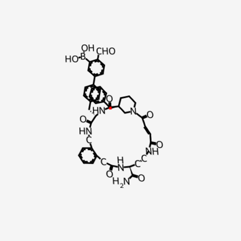 NC(=O)[C@@H]1CCNC(=O)/C=C/C(=O)N2CCC[C@](Cc3ccccc3)(C2)C(=O)N[C@@H](Cc2ccc(-c3ccc(C=O)c(B(O)O)c3)cc2)C(=O)NCc2ccccc2CC(=O)N1